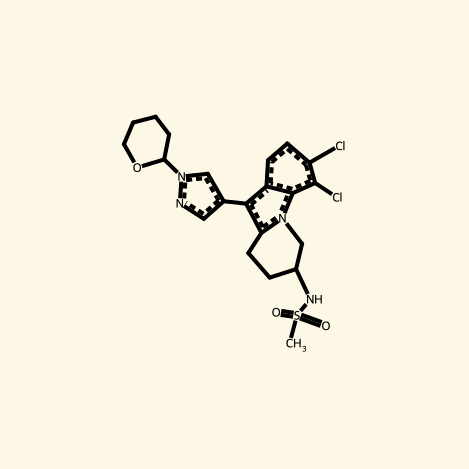 CS(=O)(=O)NC1CCc2c(-c3cnn(C4CCCCO4)c3)c3ccc(Cl)c(Cl)c3n2C1